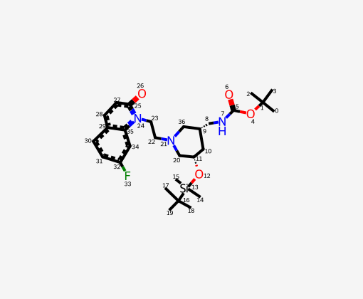 CC(C)(C)OC(=O)NC[C@@H]1C[C@H](O[Si](C)(C)C(C)(C)C)CN(CCn2c(=O)ccc3ccc(F)cc32)C1